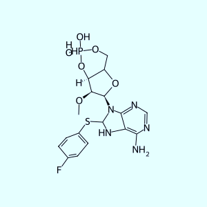 CO[C@@H]1[C@H](N2c3ncnc(N)c3NC2Sc2ccc(F)cc2)OC2CO[PH](O)(O)O[C@@H]21